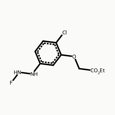 CCOC(=O)COc1cc(NNF)ccc1Cl